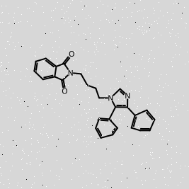 O=C1c2ccccc2C(=O)N1CCCCn1cnc(-c2ccccc2)c1-c1ccccc1